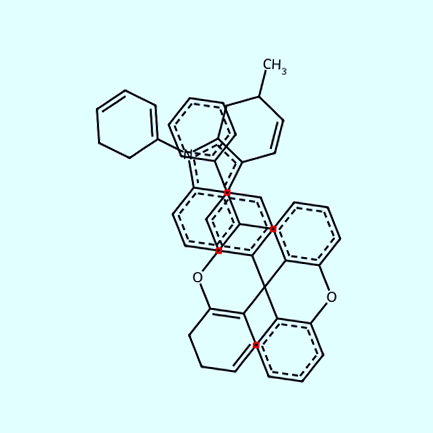 CC1C=Cc2c(n(C3=CC=CCC3)c3cccc(-c4cccc5c4C4(C6=C(CCC=C6)Oc6cc(-c7ccccc7)ccc64)c4ccccc4O5)c23)C1